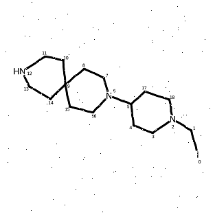 ICN1CCC(N2CCC3(CCNCC3)CC2)CC1